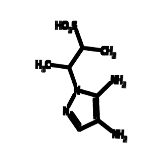 CC(C(C)S(=O)(=O)O)n1ncc(N)c1N